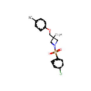 N#Cc1ccc(OCC2(C(=O)O)CN(S(=O)(=O)c3ccc(Cl)cc3)C2)cc1